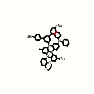 Cc1cc2c3c(c1)N(c1cccc4c1OCCCO4)c1ccc(C(C)(C)C)cc1B3c1ccc(N(c3ccccc3)c3ccccc3)cc1N2c1cc(-c2ccc(C(C)(C)C)cc2)cc(-c2ccc(C(C)(C)C)cc2)c1